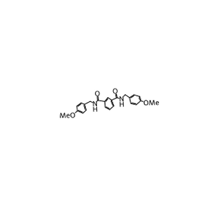 COc1ccc(CNC(=O)c2cccc(C(=O)NCc3ccc(OC)cc3)c2)cc1